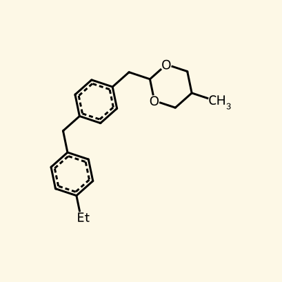 CCc1ccc(Cc2ccc(CC3OCC(C)CO3)cc2)cc1